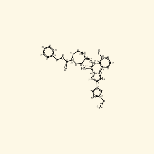 CCn1cc(-c2nc3c4cccc(F)c4nc(N[C@@H]4CN(C(=O)OCc5ccccc5)CCNC4=O)n3n2)cn1